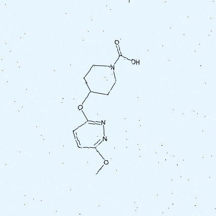 COc1ccc(OC2CCN(C(=O)O)CC2)nn1